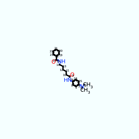 CN(C)c1ccc(NC(=O)CCCCCNC(=O)c2ccccc2)cc1